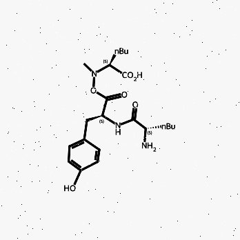 CCCC[C@H](N)C(=O)N[C@@H](Cc1ccc(O)cc1)C(=O)ON(C)[C@@H](CCCC)C(=O)O